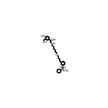 CC(=O)ON(C1CCCCC1)S(=O)(=O)c1cccc(CCCCOCCCCCCNC[C@@H](O)c2ccc(O)c(CO)c2)c1